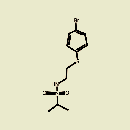 CC(C)S(=O)(=O)NCCSc1ccc(Br)cc1